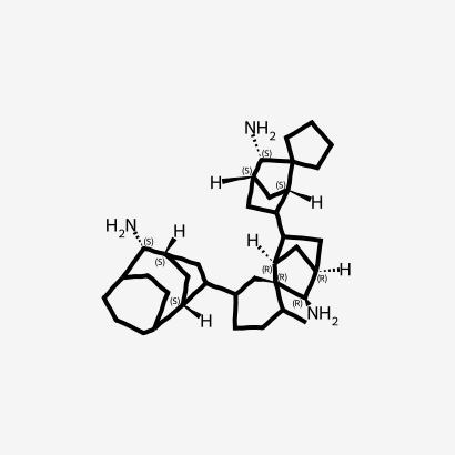 CC1CCC(C2C[C@@H]3C[C@H]2C2CCCC(CC2)[C@@H]3N)C[C@]12[C@@H]1C[C@@H](CC1C1C[C@H]3C[C@@H]1C1(CCCC1)[C@H]3N)[C@H]2N